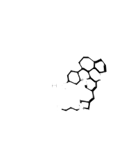 CC1CCC(C2=C(c3ncc(C=C4CN(CCCF)C4)cc3F)c3ccccc3CCC2)CC1